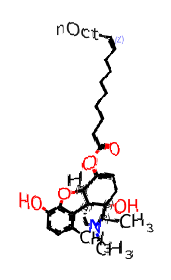 CCCCCCCC/C=C\CCCCCCCC(=O)OC1=CC[C@@]2(O)[C@@H](C)N(C)CC[C@@]23c2c(C)ccc(O)c2O[C@@H]13